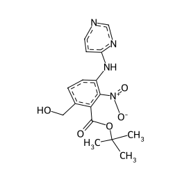 CC(C)(C)OC(=O)c1c(CO)ccc(Nc2ccncn2)c1[N+](=O)[O-]